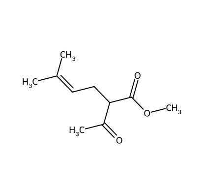 COC(=O)C(CC=C(C)C)C(C)=O